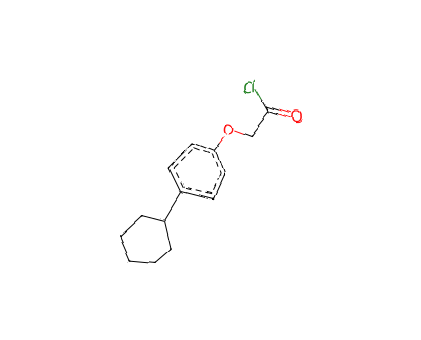 O=C(Cl)COc1ccc(C2CCCCC2)cc1